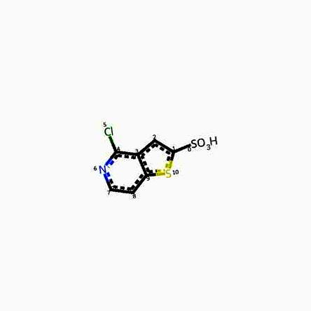 O=S(=O)(O)c1cc2c(Cl)nccc2s1